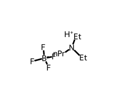 CCCN(CC)CC.F[B-](F)(F)F.[H+]